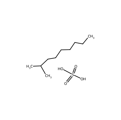 CCCCCCCC(C)C.O=S(=O)(O)O